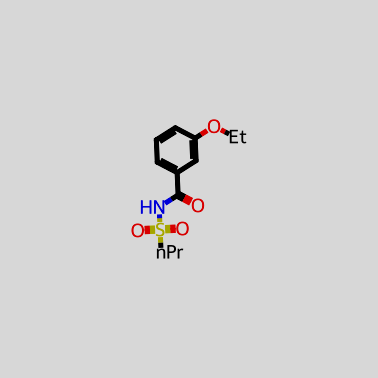 CCCS(=O)(=O)NC(=O)c1cccc(OCC)c1